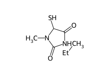 CCC.CN1C(=O)NC(=O)C1S